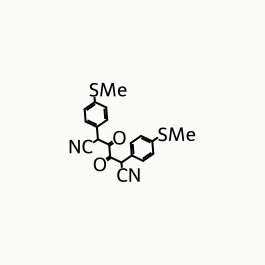 CSc1ccc(C(C#N)C(=O)C(=O)C(C#N)c2ccc(SC)cc2)cc1